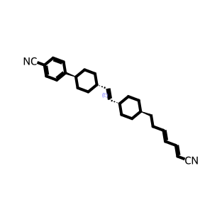 N#CC=CC=CCC[C@H]1CC[C@H](/C=C/[C@H]2CC[C@H](c3ccc(C#N)cc3)CC2)CC1